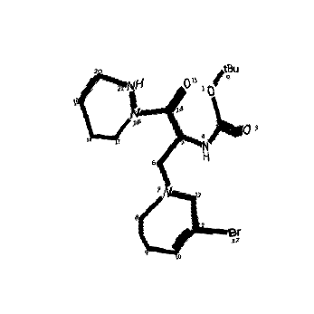 CC(C)(C)OC(=O)NC(CN1CCC=C(Br)C1)C(=O)N1CCCCN1